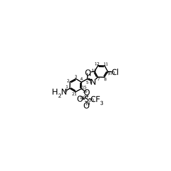 Nc1ccc(-c2nc3cc(Cl)ccc3o2)c(OS(=O)(=O)C(F)(F)F)c1